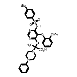 COc1ccccc1Oc1c(NS(=O)(=O)c2ccc(C(C)(C)C)cc2)ncnc1OC(C)(C(=O)O)N1CCN(c2ccccc2)CC1